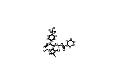 CCn1nc(C)c(Cl)c1/C(OCOC(=O)C1CCCCC1)=C(\C#N)c1ccc(C(C)(C)C)cc1